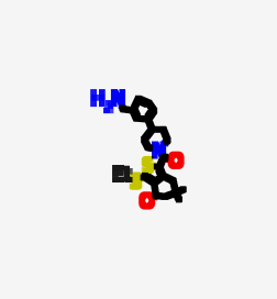 CCSc1sc(C(=O)N2CCC(c3cccc(CN)c3)CC2)c2c1C(=O)CC(C)(C)C2